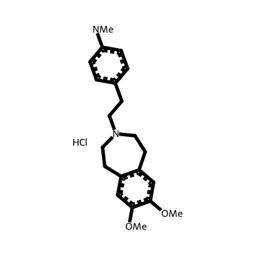 CNc1ccc(CCN2CCc3cc(OC)c(OC)cc3CC2)cc1.Cl